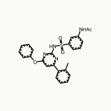 CC(=O)Nc1cccc(S(=O)(=O)Nc2nc(Oc3ccccc3)cc(-c3ccccc3C)n2)c1